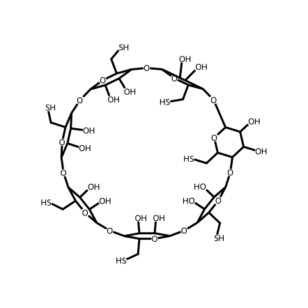 OC1C2OC(CS)C(OC3OC(CS)C(OC4OC(CS)C(OC5OC(CS)C(OC6OC(CS)C(OC7OC(CS)C(OC8OC(CS)C(O2)C(O)C8O)C(O)C7O)C(O)C6O)C(O)C5O)C(O)C4O)C(O)C3O)C1O